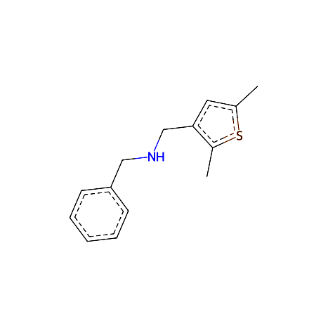 Cc1cc(CNCc2ccccc2)c(C)s1